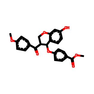 COC(=O)c1ccc(OC2c3ccc(O)cc3OCC2C(=O)c2ccc(OC)cc2)cc1